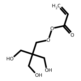 C=CC(=O)OOCC(CO)(CO)CO